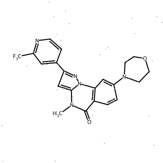 Cn1c(=O)c2ccc(N3CCOCC3)cc2n2nc(-c3ccnc(C(F)(F)F)c3)cc12